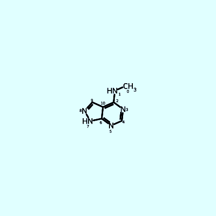 CNc1ncnc2[nH]ncc12